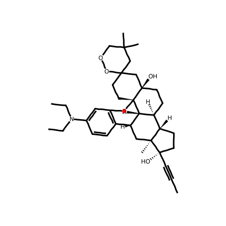 CC#C[C@]1(O)CC[C@H]2[C@@H]3CC[C@@]4(O)CC5(CC[C@@]46Sc4cc(N(CC)CC)ccc4[C@@H](C[C@@]21C)[C@@H]36)CC(C)(C)COO5